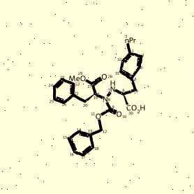 CCCc1ccc(C[C@H](NN(C(=O)OCc2ccccc2)[C@@H](Cc2ccccc2)C(=O)OC)C(=O)O)cc1